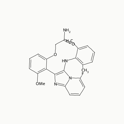 COc1cccc(OCC(N)=O)c1-c1nc2cccc(F)n2c1Nc1c(C)cccc1C